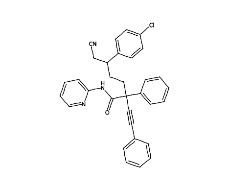 N#CCC(CCC(C#Cc1ccccc1)(C(=O)Nc1ccccn1)c1ccccc1)c1ccc(Cl)cc1